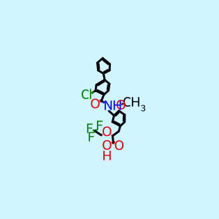 COc1ccc(CC(OCC(F)(F)F)C(=O)O)cc1CNC(=O)c1ccc(-c2ccccc2)cc1Cl